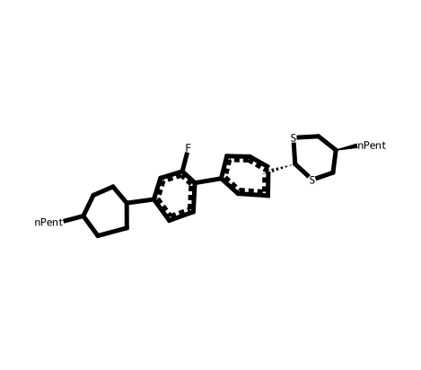 CCCCCC1CCC(c2ccc(-c3ccc([C@H]4SC[C@H](CCCCC)CS4)cc3)c(F)c2)CC1